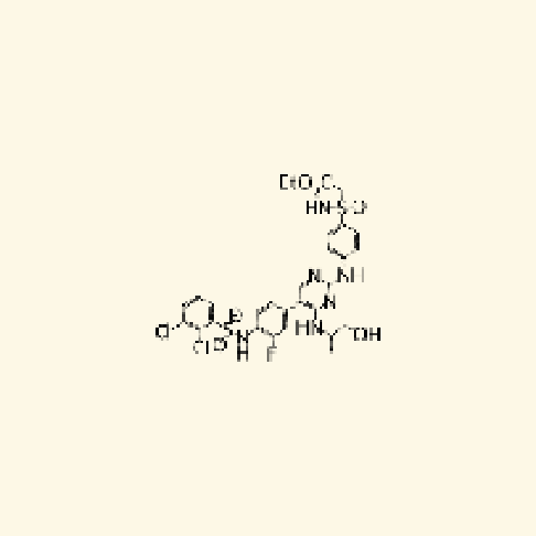 CCOC(=O)CS(=N)(=O)c1ccc(Nc2ncc(-c3ccc(NS(=O)(=O)c4cccc(Cl)c4Cl)c(F)c3)c(NC(C)CO)n2)cc1